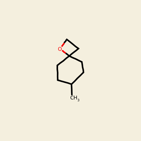 CC1CCC2(CCO2)CC1